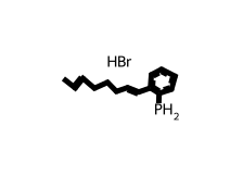 Br.CC=CCCCC=Cc1ccccc1P